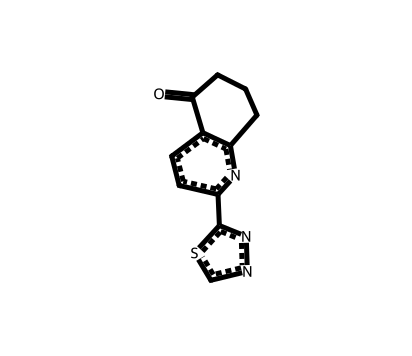 O=C1CCCc2nc(-c3nncs3)ccc21